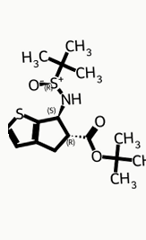 CC(C)(C)OC(=O)[C@@H]1Cc2ccsc2[C@H]1N[S@@+]([O-])C(C)(C)C